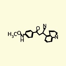 CONc1ccc(C(=O)CC(C#N)c2cccc3ncccc23)cc1